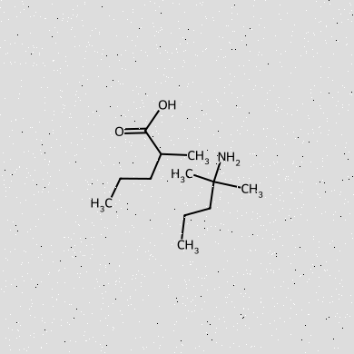 CCCC(C)(C)N.CCCC(C)C(=O)O